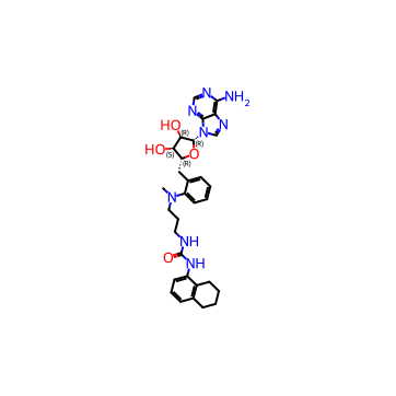 CN(CCCNC(=O)Nc1cccc2c1CCCC2)c1ccccc1C[C@H]1O[C@@H](n2cnc3c(N)ncnc32)[C@H](O)[C@@H]1O